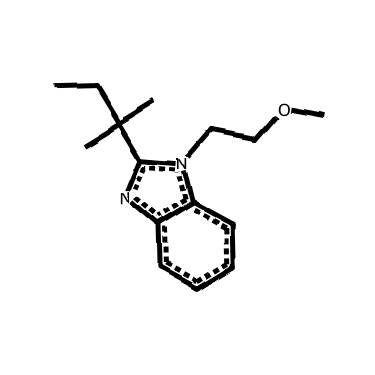 CCC(C)(C)c1nc2ccccc2n1CCOC